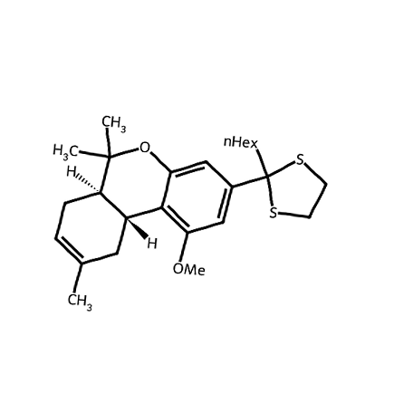 CCCCCCC1(c2cc(OC)c3c(c2)OC(C)(C)[C@@H]2CC=C(C)C[C@@H]32)SCCS1